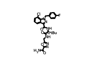 CC(C)(C)[C@H](NC(=O)c1nn(Cc2ccc(F)cc2)c2c(Cl)cccc12)C(=O)NCc1nnc(C(N)=O)o1